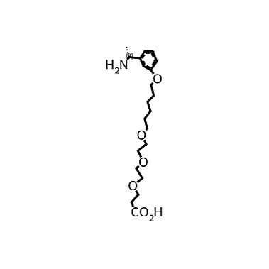 C[C@@H](N)c1cccc(OCCCCCCOCCOCCOCCC(=O)O)c1